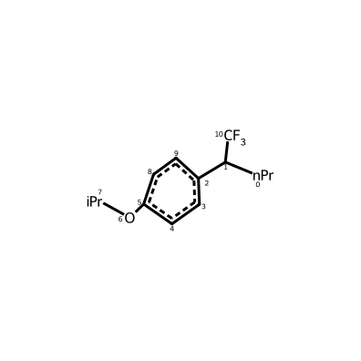 CCCC(c1ccc(OC(C)C)cc1)C(F)(F)F